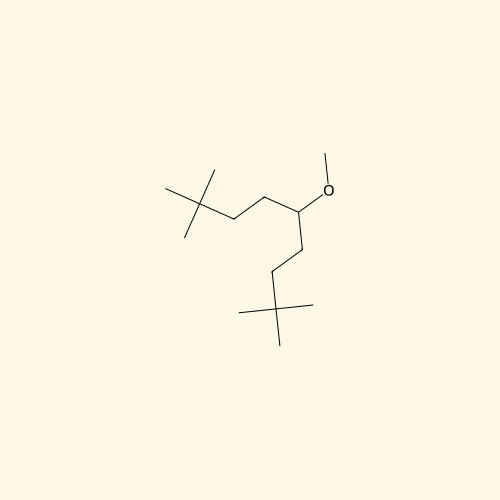 COC(CCC(C)(C)C)CCC(C)(C)C